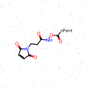 CCCCCC(=O)ONC(=O)CCN1C(=O)C=CC1=O